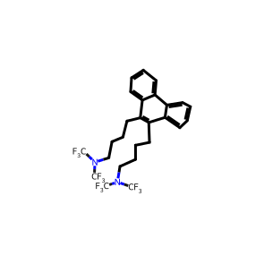 FC(F)(F)N(CCCCc1c(CCCCN(C(F)(F)F)C(F)(F)F)c2ccccc2c2ccccc12)C(F)(F)F